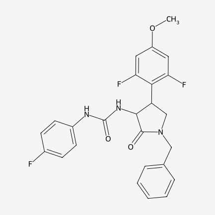 COc1cc(F)c(C2CN(Cc3ccccc3)C(=O)C2NC(=O)Nc2ccc(F)cc2)c(F)c1